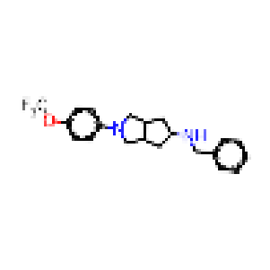 FC(F)(F)Oc1ccc(N2CC3CC(NCc4ccccc4)CC3C2)cc1